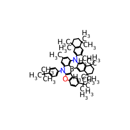 Cc1cc2c3c(c1)N(c1ccc(C(C)(C)C)cc1)c1oc4ccc(C(C)(C)C)cc4c1B3c1cc3c(cc1N2c1cc2c(cc1C)C(C)(C)CCC2(C)C)C(C)(C)CCC3(C)C